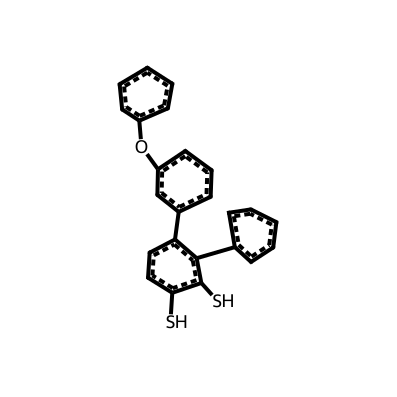 Sc1ccc(-c2cccc(Oc3ccccc3)c2)c(-c2ccccc2)c1S